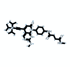 CNC(=O)CCC(=O)NC1CCC(n2c(=O)cc(C#C[Si](C(C)C)(C(C)C)C(C)C)c3cnc(SC)nc32)CC1